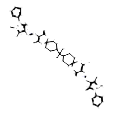 Cc1c(/N=N/C2=C(O)OC3(CCC(C(C)(C)C4CCC5(CC4)OC(=O)C(/N=N/c4c(C)n(C)n(-c6ccccc6)c4=O)=C(O)O5)CC3)OC2=O)c(=O)n(-c2ccccc2)n1C